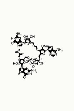 CO[C@@H]1[C@H](SCOC[C@H]2O[C@@H](n3cnc4c(=O)[nH]c(N)nc43)[C@H](O)[C@@H]2O)C(COP(=O)(O)OP(=O)(O)OP(=O)([O-])OC[C@H]2OC(n3c[n+](C)c4c(=O)[nH]c(N)nc43)[C@H](O)[C@@H]2CC(=O)N(C)C)O[C@H]1n1cnc2c(N)ncnc21